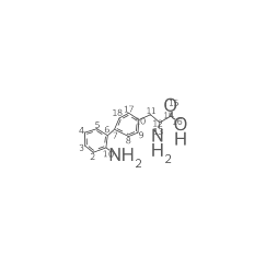 Nc1ccccc1-c1ccc(C[C@H](N)C(=O)O)cc1